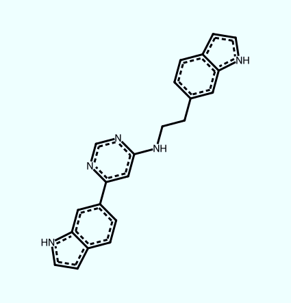 c1nc(NCCc2ccc3cc[nH]c3c2)cc(-c2ccc3cc[nH]c3c2)n1